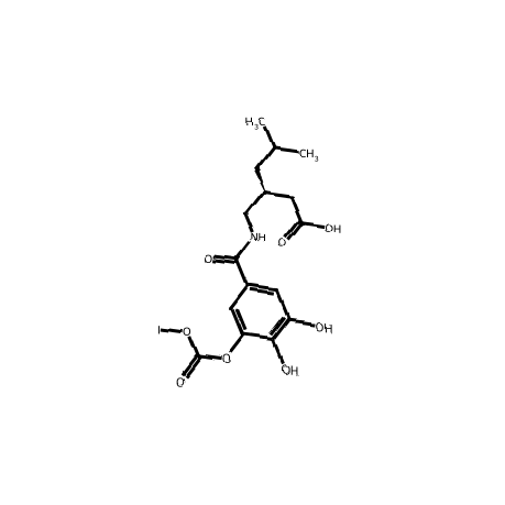 CC(C)C[C@H](CNC(=O)c1cc(O)c(O)c(OC(=O)OI)c1)CC(=O)O